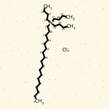 CCCCCCCCCCCCCCCCCC[N+](CCCC)(CCCC)CCCC.[Cl-]